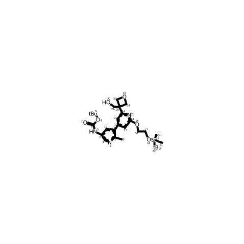 Cc1ncc(NC(=O)OC(C)(C)C)cc1-c1cc(OCCO[Si](C)(C)C(C)(C)C)nc(C2(CO)COC2)c1